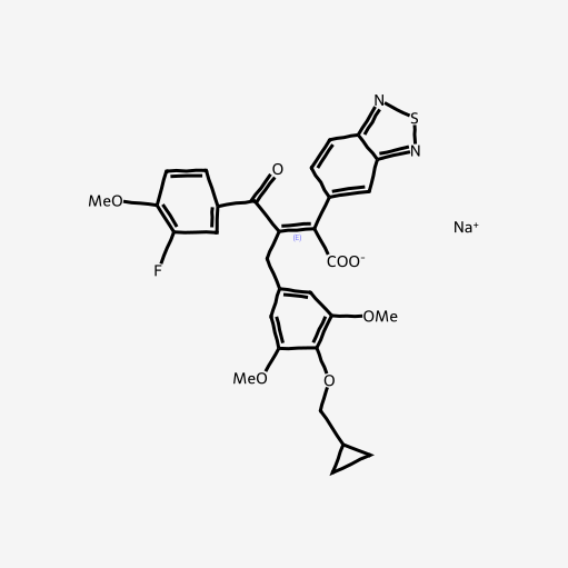 COc1ccc(C(=O)/C(Cc2cc(OC)c(OCC3CC3)c(OC)c2)=C(/C(=O)[O-])c2ccc3nsnc3c2)cc1F.[Na+]